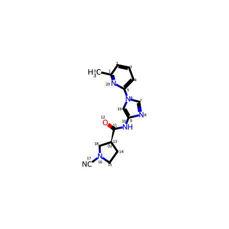 Cc1cccc(-n2cnc(NC(=O)[C@H]3CCN(C#N)C3)c2)n1